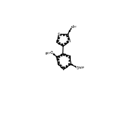 COc1ccc(OC)c(-c2csc(C(C)(C)C)n2)c1